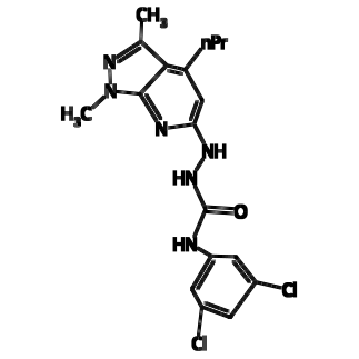 CCCc1cc(NNC(=O)Nc2cc(Cl)cc(Cl)c2)nc2c1c(C)nn2C